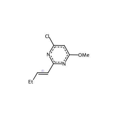 CC/C=C/c1nc(Cl)cc(OC)n1